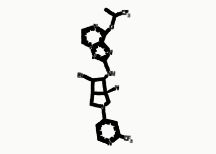 CCC1C2CN(c3ccnc(C(F)(F)F)c3)C[C@H]2[C@@H]1Nc1nc2c(OC(C)C(F)(F)F)nccn2n1